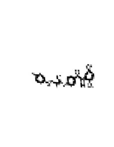 COc1ccc(OC)c(NC(=O)c2ccc(NC(=O)CCSc3ccc(C)cc3)cc2)c1